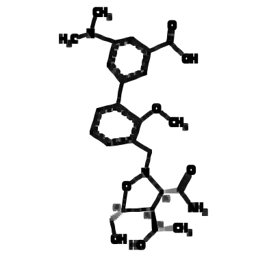 COc1c(CN2O[C@@H](CO)[C@H]([C@H](C)O)[C@H]2C(N)=O)cccc1-c1cc(C(=O)O)cc(N(C)C)c1